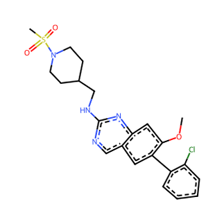 COc1cc2nc(NCC3CCN(S(C)(=O)=O)CC3)ncc2cc1-c1ccccc1Cl